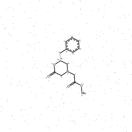 CC(C)(C)OC(=O)CN1CC(=O)O[C@H](Cc2ccccc2)C1